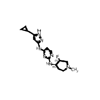 CN1CC[C@@H](Nc2nccc(Nc3cc(C4CC4)[nH]n3)n2)[C@@H](F)C1